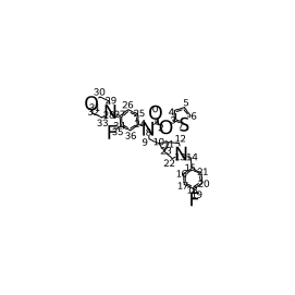 O=C(Oc1cccs1)N(CC1C2CN(Cc3ccc(F)cc3)CC21)c1ccc(N2CCOCC2)c(F)c1